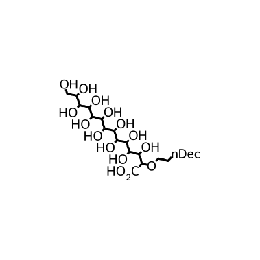 CCCCCCCCCCCCOC(C(=O)O)C(O)C(O)C(O)C(O)C(O)C(O)C(O)C(O)C(O)C(O)C(O)CO